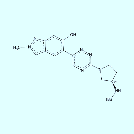 Cn1cc2cc(-c3cnc(N4CC[C@@H](NC(C)(C)C)C4)nn3)c(O)cc2n1